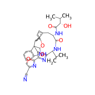 C=C(C)C1NC(=O)[C@@H](NC(=O)[C@@H](O)C(C)C)Cc2ccc3c(c2)C2(c4ccccc4NC2O3)c2oc1nc2-c1nc(C#N)co1